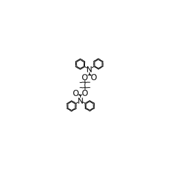 CC(C)(OC(=O)N(c1ccccc1)c1ccccc1)C(C)(C)OC(=O)N(c1ccccc1)c1ccccc1